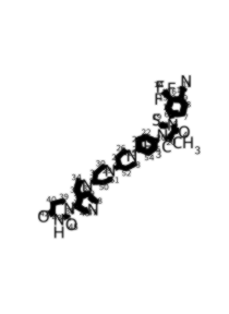 CC1(C)C(=O)N(c2ccc(C#N)c(C(F)(F)F)c2)C(=S)N1c1ccc(N2CCC(N3CCC(n4ccc5c(N6CCC(=O)NC6=O)cncc54)CC3)CC2)cc1